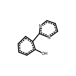 Oc1ccccc1-c1ncccn1